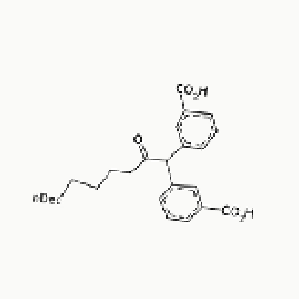 CCCCCCCCCCCCCCC(=O)C(c1cccc(C(=O)O)c1)c1cccc(C(=O)O)c1